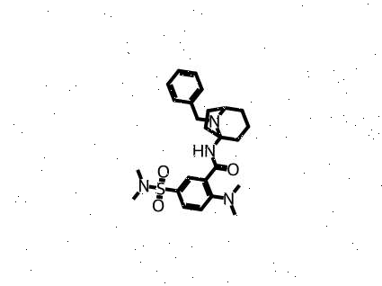 CN(C)c1ccc(S(=O)(=O)N(C)C)cc1C(=O)NC12CCCC(CC1)N2Cc1ccccc1